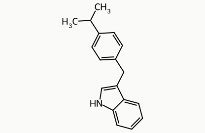 CC(C)c1ccc(Cc2c[nH]c3ccccc23)cc1